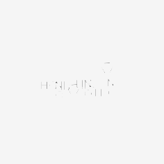 CCN1Cc2ccccc2C(CONC(=O)c2ccc(C(=O)NO)cc2)C1